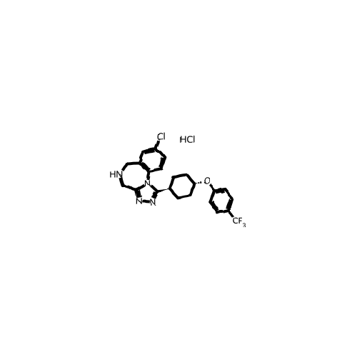 Cl.FC(F)(F)c1ccc(O[C@H]2CC[C@H](c3nnc4n3-c3ccc(Cl)cc3CNC4)CC2)cc1